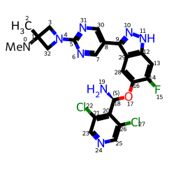 CNC1(C)CN(c2ncc(-c3n[nH]c4cc(F)c(O[C@H](N)c5c(Cl)cncc5Cl)cc34)cn2)C1